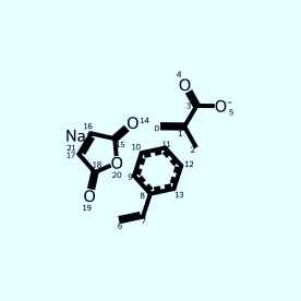 C=C(C)C(=O)[O-].C=Cc1ccccc1.O=C1C=CC(=O)O1.[Na+]